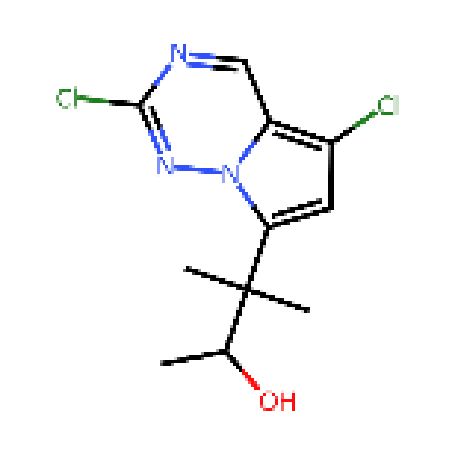 CC(O)C(C)(C)c1cc(Cl)c2cnc(Cl)nn12